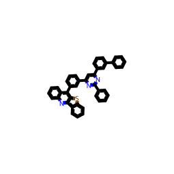 c1ccc(-c2cccc(-c3cc(-c4cccc(-c5c6ccccc6nc6c5sc5ccccc56)c4)nc(-c4ccccc4)n3)c2)cc1